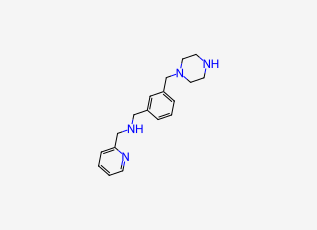 c1ccc(CNCc2cccc(CN3CCNCC3)c2)nc1